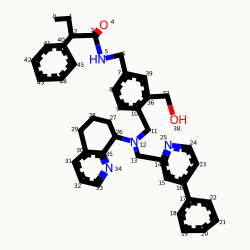 CCC(C(=O)NCc1ccc(CN(Cc2cc(-c3ccccc3)ccn2)C2CCCc3cccnc32)c(CO)c1)c1ccccc1